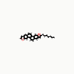 CCCCCCCc1cc2cc3ccc4c5cc6occc6cc5ccc4c3cc2o1